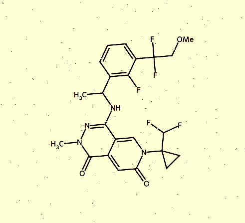 COCC(F)(F)c1cccc(C(C)Nc2nn(C)c(=O)c3cc(=O)n(C4(C(F)F)CC4)cc23)c1F